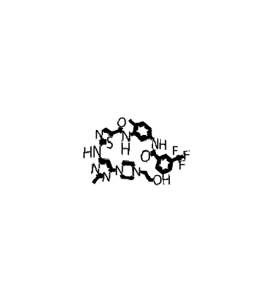 Cc1nc(Nc2ncc(C(=O)Nc3cc(NC(=O)c4cccc(C(F)(F)F)c4)ccc3C)s2)cc(N2CCN(CCO)CC2)n1